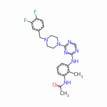 CC(=O)Nc1cccc(Nc2ncnc(N3CCN(Cc4ccc(F)c(F)c4)CC3)n2)c1C